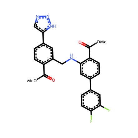 COC(=O)c1ccc(-c2cnn[nH]2)cc1CNc1cc(-c2ccc(F)c(F)c2)ccc1C(=O)OC